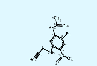 C#CCNc1cc(NC(C)=O)c(F)cc1[N+](=O)[O-]